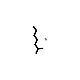 CCCCCC(C)C.[Ti]